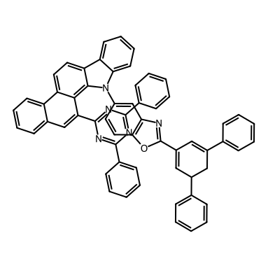 C1=C(c2ccccc2)CC(c2ccccc2)C=C1c1nc2cc(-n3c4ccccc4c4ccc5c6ccccc6cc(-c6nc(-c7ccccc7)nc(-c7ccccc7)n6)c5c43)ccc2o1